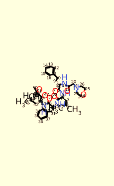 CC(C)C[C@H](NC(=O)[C@H](CCc1ccccc1)NC(=O)CN1CCOCC1)C(=O)N[C@@H](Cc1ccccc1)C(=O)N[C@H](CC(C)C)C(=O)[C@]1(C)CO1